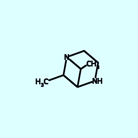 CC1C2NCCN1C2C